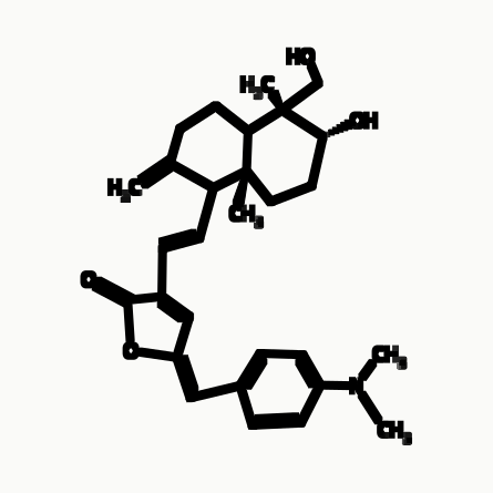 C=C1CCC2[C@](C)(CC[C@@H](O)[C@@]2(C)CO)C1/C=C/C1=CC(=C\c2ccc(N(C)C)cc2)/OC1=O